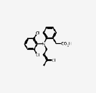 C/C(Cl)=C/CN(c1ccccc1CC(=O)O)c1c(Cl)cccc1Cl